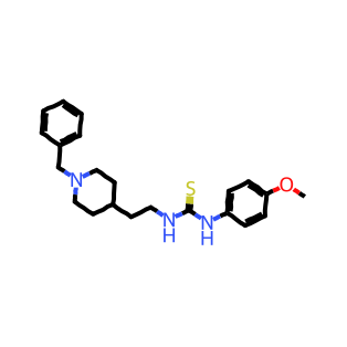 COc1ccc(NC(=S)NCCC2CCN(Cc3ccccc3)CC2)cc1